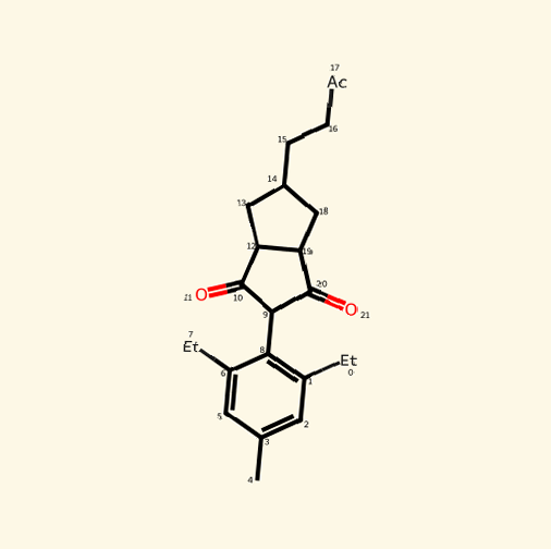 CCc1cc(C)cc(CC)c1C1C(=O)C2CC(CCC(C)=O)CC2C1=O